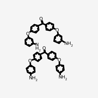 Nc1ccc(Oc2ccc(C(=O)c3ccc(Oc4ccc(N)cc4)cc3)cc2)cc1.Nc1cccc(Oc2ccc(C(=O)c3ccc(Oc4cccc(N)c4)cc3)cc2)c1